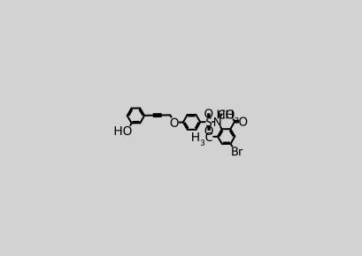 Cc1cc(Br)cc(C(=O)O)c1N(C)S(=O)(=O)c1ccc(OCC#Cc2cccc(O)c2)cc1